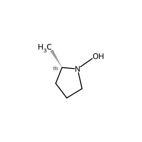 C[C@H]1CCCN1O